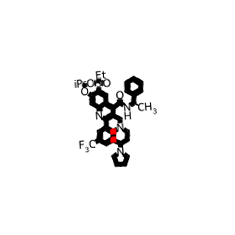 CCS(=O)(=O)c1cc2c(C(=O)N[C@@H](C)c3ccccc3)c(CN3CCC(N4CCCC4)CC3)c(-c3cccc(C(F)(F)F)c3)nc2cc1OC(C)C